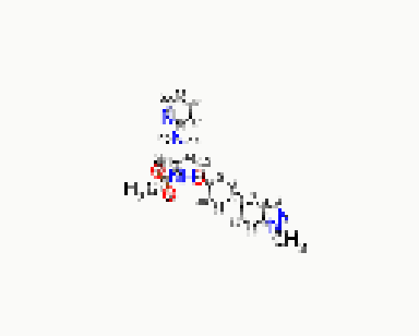 Cn1ncc2cc([C@H]3CC[C@@H](OC[C@@H]4CN(c5ccccn5)CC[C@@H]4NS(C)(=O)=O)CC3)ccc21